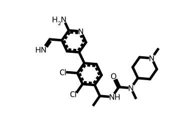 CC(NC(=O)N(C)C1CCN(C)CC1)c1ccc(-c2cnc(N)c(C=N)c2)c(Cl)c1Cl